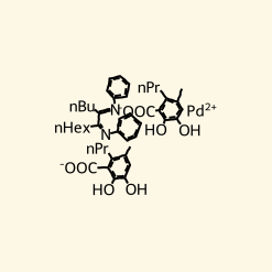 CCCCCCC(=Nc1ccccc1)C(CCCC)=Nc1ccccc1.CCCc1c(C)cc(O)c(O)c1C(=O)[O-].CCCc1c(C)cc(O)c(O)c1C(=O)[O-].[Pd+2]